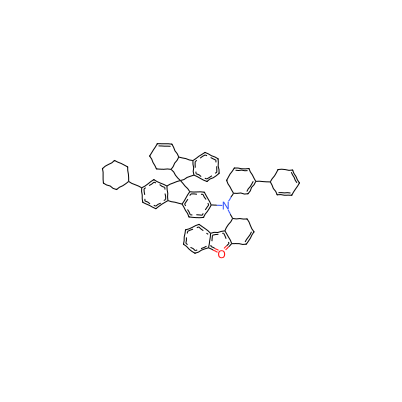 C1=CCC(C2=CC(N(c3ccc4c(c3)C3(c5cc(C6CCCCC6)ccc5-4)c4ccccc4C4C=CCCC43)C3CC=Cc4oc5ccccc5c43)CC=C2)C=C1